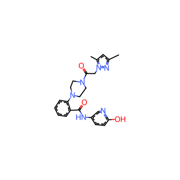 Cc1cc(C)n(CC(=O)N2CCN(c3ccccc3C(=O)Nc3ccc(O)nc3)CC2)n1